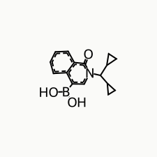 O=c1c2ccccc2c(B(O)O)cn1C(C1CC1)C1CC1